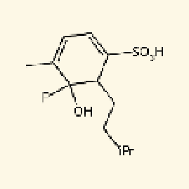 CC1=CC=C(S(=O)(=O)O)C(CCC(C)C)C1(O)F